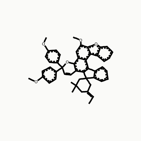 C/C=C1\CC(C)(C)CC2(C1)c1ccccc1-c1c2c2c(c3cc(OC)c4oc5ccccc5c4c13)OC(c1ccc(OC)cc1)(c1ccc(OC)cc1)C=C2